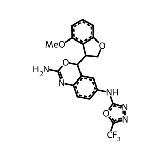 COc1cccc2c1C(C1OC(N)=Nc3ccc(Nc4nnc(C(F)(F)F)o4)cc31)CO2